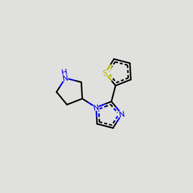 c1csc(-c2nccn2C2CCNC2)c1